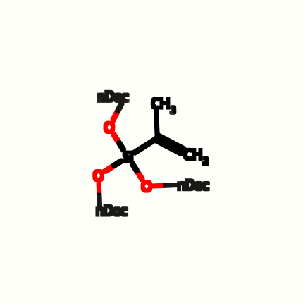 C=C(C)[Si](OCCCCCCCCCC)(OCCCCCCCCCC)OCCCCCCCCCC